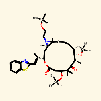 CC[Si](CC)(CC)O[C@H]1[C@@H](C)CCC[C@]2(C)[C@H](C[C@@H](/C(C)=C/c3nc4ccccc4s3)OC(=O)C[C@H](O[Si](CC)(CC)CC)C(C)(C)C(=O)[C@@H]1C)N2CCO[Si](C)(C)C(C)(C)C